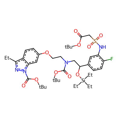 CCc1nn(C(=O)OC(C)(C)C)c2cc(OCCN(CC(O[Si](CC)(CC)CC)c3ccc(F)c(NS(=O)(=O)CC(=O)OC(C)(C)C)c3)C(=O)OC(C)(C)C)ccc12